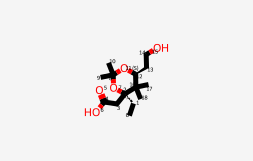 CC[C@]1(CC(=O)O)OC(C)(C)O[C@@H](CCO)C1(C)C